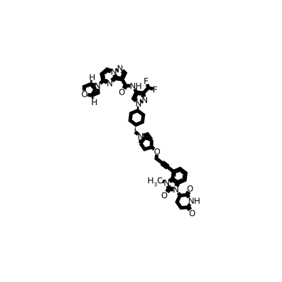 Cn1c(=O)n(C2CCC(=O)NC2=O)c2cccc(C#CCOC3CC4CC3CN4C[C@H]3CC[C@H](n4cc(NC(=O)c5cnn6ccc(N7C[C@H]8C[C@@H]7CO8)nc56)c(C(F)F)n4)CC3)c21